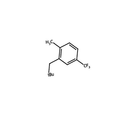 Cc1ccc(C(F)(F)F)cc1CC(C)(C)C